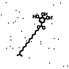 CC(C)CCCCCCCCCCCCOC(=O)c1cc(O)c(O)c(O)c1